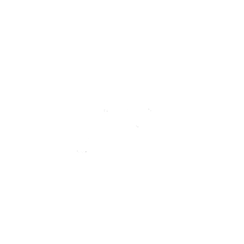 CNS(=O)(=O)c1cccc(CNC(=O)c2cnc(-c3ccccc3)nc2)c1